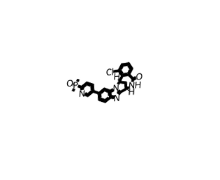 CP(C)(=O)c1ccc(-c2ccc3nc4n(c3c2)[C@@H]2C[C@H]4NC(=O)c3cccc(Cl)c32)cn1